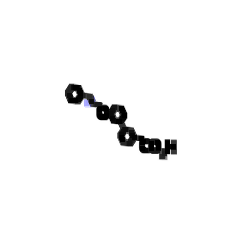 O=C(O)Cc1cccc(-c2cccc(OC/C=C/c3ccccc3)c2)c1